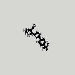 N#Cc1[nH]nnc1-c1ccc(-c2ccc(C(F)(F)F)cc2)s1